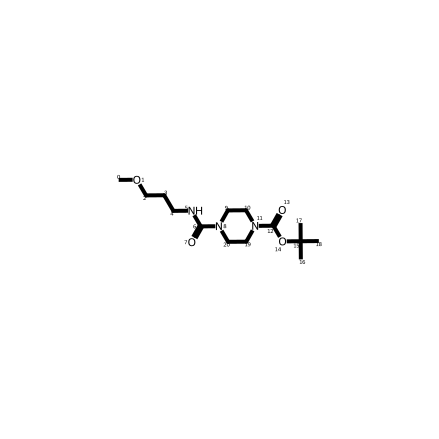 COCCCNC(=O)N1CCN(C(=O)OC(C)(C)C)CC1